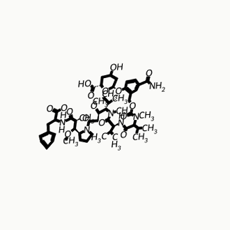 CCC(C)[C@@H]([C@@H](CC(=O)N1CCC[C@H]1C(OC)[C@@H](C)C(=O)NC(Cc1ccccc1)C(=O)O)OC)N(C)C(=O)[C@@H](NC(=O)C(C(C)C)N(C)C(=O)OCc1cc(C(N)=O)ccc1O[C@H]1CC(O)C[C@@H](C(=O)O)O1)C(C)C